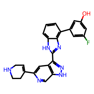 Oc1cc(F)cc(-c2cccc3[nH]c(-c4n[nH]c5cnc(C6=CCNCC6)cc45)nc23)c1